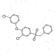 O=S(=O)(Cc1ccccc1)c1ccc(Oc2c[c]cc(Cl)c2)c(Cl)c1